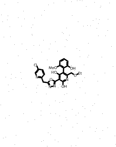 CCOCc1nc(O)c(-c2nnc(Cc3ccc(Cl)cn3)o2)c(O)c1-c1c(O)cccc1OC